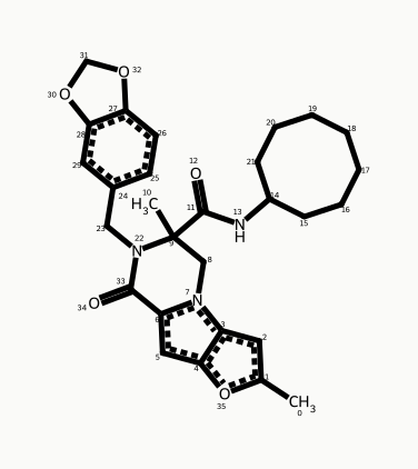 Cc1cc2c(cc3n2CC(C)(C(=O)NC2CCCCCCC2)N(Cc2ccc4c(c2)OCO4)C3=O)o1